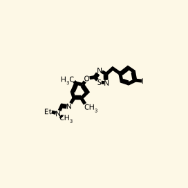 CCN(C)/C=N/c1cc(C)c(Oc2nc(Cc3ccc(I)cc3)ns2)cc1C